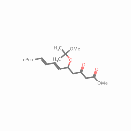 CCCCC/C=C/C=C/C(CC(=O)CC(=O)OC)OC(C)(C)OC